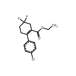 CCOC(=O)C1=C(c2ccc(Cl)cc2)CCC(F)(F)C1